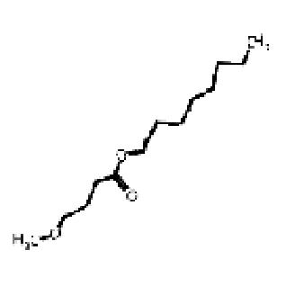 CCCCCCCCOC(=O)CCCOC